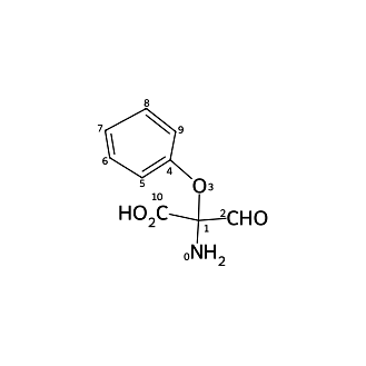 NC(C=O)(Oc1ccccc1)C(=O)O